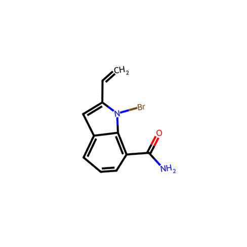 C=Cc1cc2cccc(C(N)=O)c2n1Br